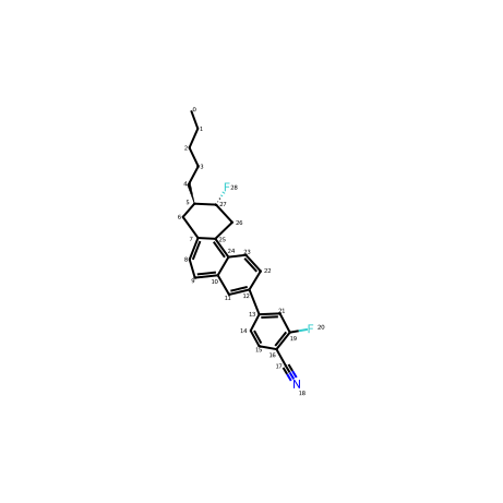 CCCCC[C@@H]1Cc2ccc3cc(-c4ccc(C#N)c(F)c4)ccc3c2C[C@H]1F